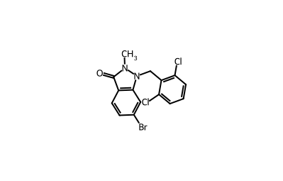 Cn1c(=O)c2ccc(Br)cc2n1Cc1c(Cl)cccc1Cl